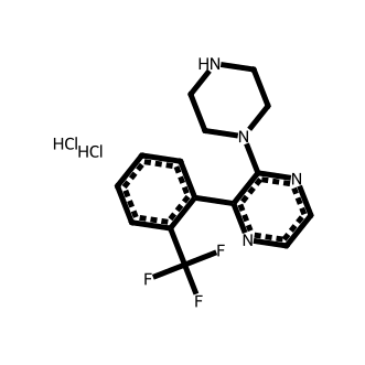 Cl.Cl.FC(F)(F)c1ccccc1-c1nccnc1N1CCNCC1